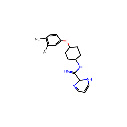 N#Cc1ccc(OC2CCC(NC(=N)C3N=CC=CN3)CC2)cc1C(F)(F)F